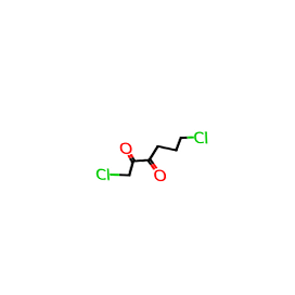 O=C(CCl)C(=O)CCCCl